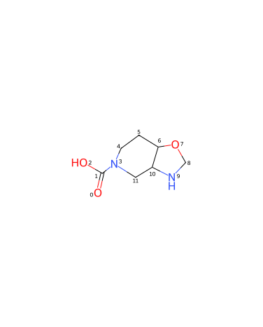 O=C(O)N1CCC2OCNC2C1